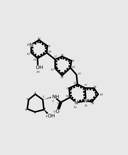 O=C(N[C@H]1CCCC[C@@H]1O)c1cc(Cc2ccc(-c3ccncc3O)cc2)c2cccn2n1